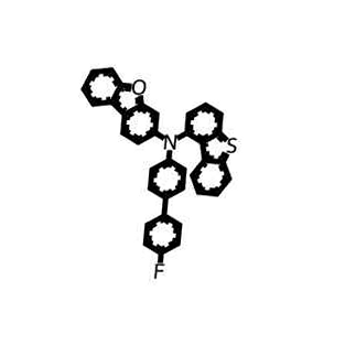 Fc1ccc(-c2ccc(N(c3ccc4c(c3)oc3ccccc34)c3cccc4sc5ccccc5c34)cc2)cc1